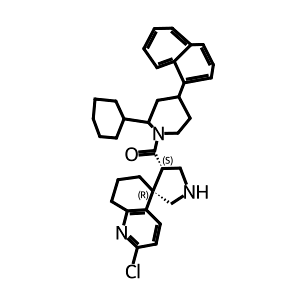 O=C([C@@H]1CNC[C@]12CCCc1nc(Cl)ccc12)N1CCC(c2cccc3ccccc23)CC1C1CCCCC1